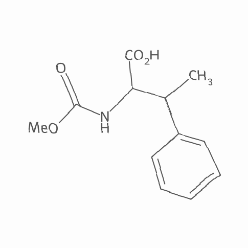 COC(=O)NC(C(=O)O)C(C)c1ccccc1